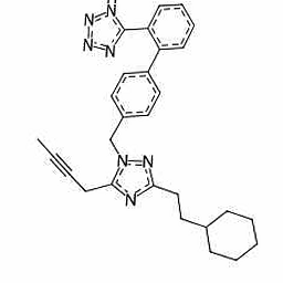 CC#CCc1nc(CCC2CCCCC2)nn1Cc1ccc(-c2ccccc2-c2nnn[nH]2)cc1